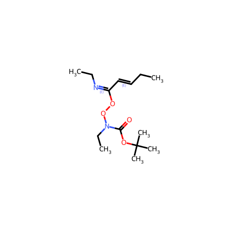 CC/C=C/C(=N\CC)OON(CC)C(=O)OC(C)(C)C